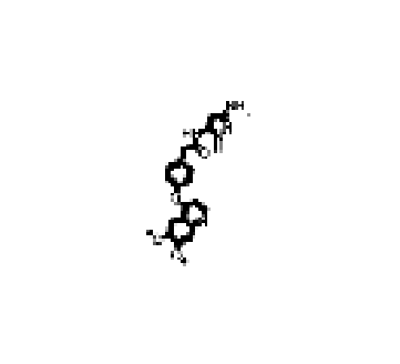 COc1cc2nccc(Oc3ccc(CC(=O)Nc4cc(N)n[nH]4)cc3)c2cc1OC